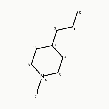 CCCC1CCN(I)CC1